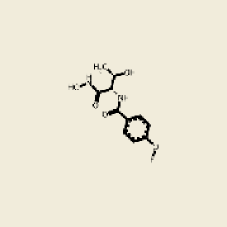 C[C@@H](O)[C@H](NC(=O)c1ccc(OF)cc1)C(=O)NO